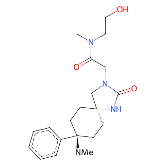 CN[C@]1(c2ccccc2)CC[C@]2(CC1)CN(CC(=O)N(C)CCO)C(=O)N2